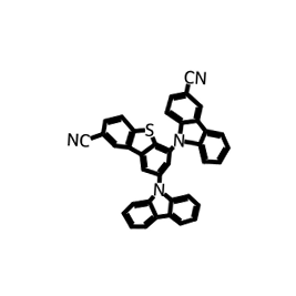 N#Cc1ccc2sc3c(-n4c5ccccc5c5cc(C#N)ccc54)cc(-n4c5ccccc5c5ccccc54)cc3c2c1